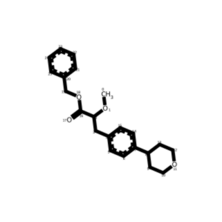 COC(Cc1ccc(C2CCOCC2)cc1)C(=O)OCc1ccccc1